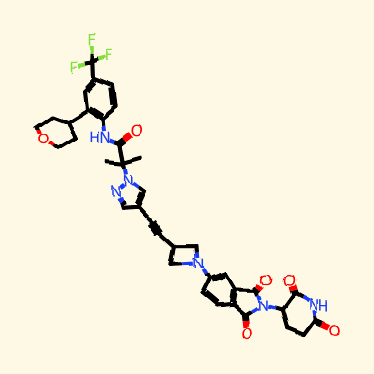 CC(C)(C(=O)Nc1ccc(C(F)(F)F)cc1C1CCOCC1)n1cc(C#CC2CN(c3ccc4c(c3)C(=O)N(C3CCC(=O)NC3=O)C4=O)C2)cn1